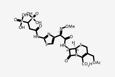 CO/N=C(\C(=O)N[C@@H]1C(=O)N2C(C(=O)O)=C(COC(C)=O)CS[C@H]12)c1csc(NC(=O)CC(P(=O)(O)O)P(=O)(O)O)n1